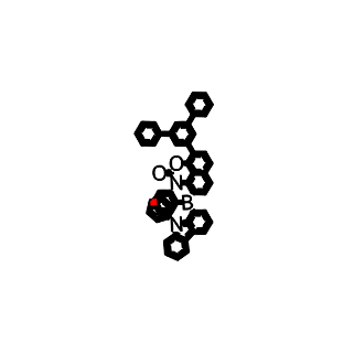 O=C1Oc2c(-c3cc(-c4ccccc4)cc(-c4ccccc4)c3)ccc3ccc4c(c23)N1c1ccccc1B4c1cccc2c3ccccc3n(-c3ccccc3)c12